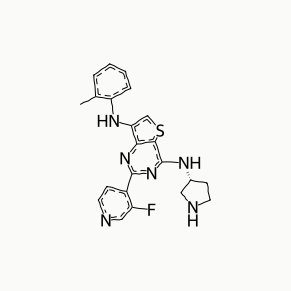 Cc1ccccc1Nc1csc2c(N[C@@H]3CCNC3)nc(-c3ccncc3F)nc12